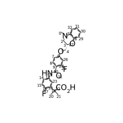 CN1C[C@@H](COc2ccc(C(=O)Nc3ccc(F)c(C(C)(C)C(=O)O)c3)c(F)c2)Oc2ccccc21